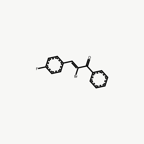 O=C(C(Br)=Cc1ccc(F)cc1)c1ccccc1